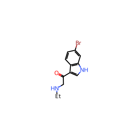 CCNCC(=O)c1c[nH]c2cc(Br)ccc12